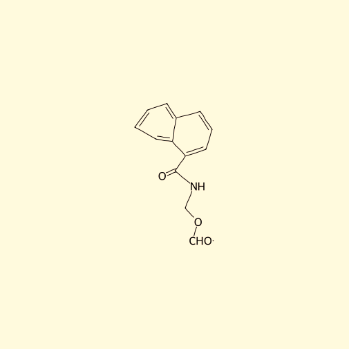 O=[C]OCNC(=O)c1cccc2ccccc12